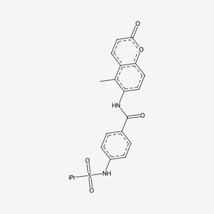 Cc1c(NC(=O)c2ccc(NS(=O)(=O)C(C)C)cc2)ccc2oc(=O)ccc12